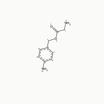 NCC(=O)OCc1ccc(N)cc1